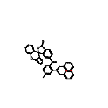 Cc1ccc(N(C)c2ccc3c(c2)C2(OC3=O)c3ccccc3Oc3ccccc32)c(N(Cc2ccccc2)Cc2ccccc2)c1